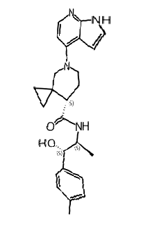 Cc1ccc([C@H](O)[C@H](C)NC(=O)[C@H]2CCN(c3ccnc4[nH]ccc34)CC23CC3)cc1